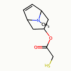 CN1C2C=CC1CC(OC(=O)CS)C2